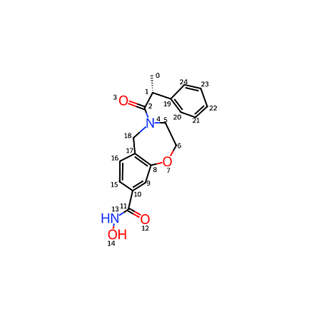 C[C@@H](C(=O)N1CCOc2cc(C(=O)NO)ccc2C1)c1ccccc1